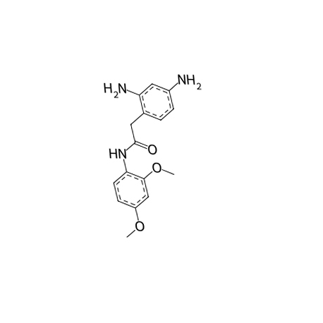 COc1ccc(NC(=O)Cc2ccc(N)cc2N)c(OC)c1